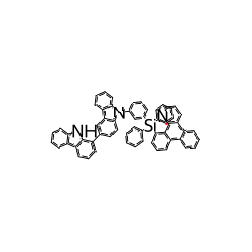 c1ccc([Si](c2ccccc2)(c2cccc(-n3c4ccccc4c4cc(-c5cccc6c5[nH]c5ccccc56)ccc43)c2)c2cccc3c4ccccc4c4cccnc4c23)cc1